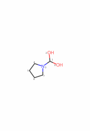 OC(O)N1CCCC1